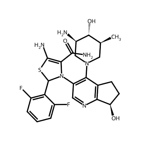 C[C@H]1CN(c2c(N3C(C(N)=O)=C(N)SC3c3c(F)cccc3F)cnc3c2CC[C@H]3O)C[C@@H](N)[C@@H]1O